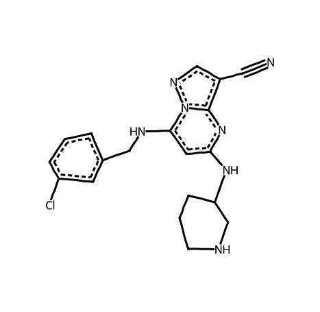 N#Cc1cnn2c(NCc3cccc(Cl)c3)cc(NC3CCCNC3)nc12